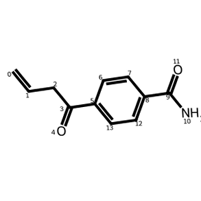 C=CCC(=O)c1ccc(C(N)=O)cc1